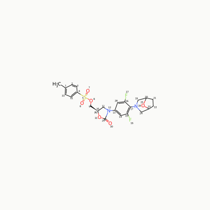 Cc1ccc(S(=O)(=O)OC[C@H]2CN(c3cc(F)c(N4CC5CCC(C4)O5)c(F)c3)C(=O)O2)cc1